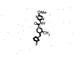 COc1cnc(NC(=O)N2CCC(=Cc3cccc(F)c3)C(C)C2)cn1